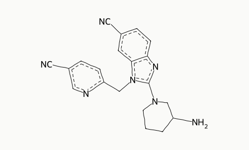 N#Cc1ccc(Cn2c(N3CCCC(N)C3)nc3ccc(C#N)cc32)nc1